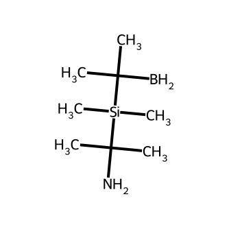 BC(C)(C)[Si](C)(C)C(C)(C)N